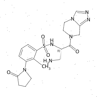 Cc1c(N2CCCC2=O)cccc1S(=O)(=O)N[C@@H](CN)C(=O)N1CCn2cnnc2C1